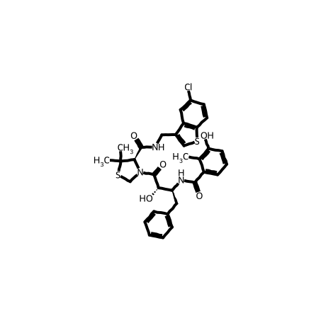 Cc1c(O)cccc1C(=O)N[C@@H](Cc1ccccc1)[C@H](O)C(=O)N1CSC(C)(C)[C@H]1C(=O)NCc1csc2ccc(Cl)cc12